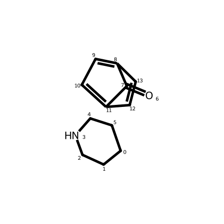 C1CCNCC1.O=C1C2=CC=C1C=C2